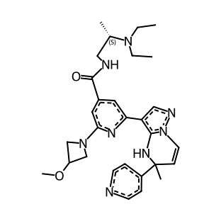 CCN(CC)[C@@H](C)CNC(=O)c1cc(-c2cnn3c2NC(C)(c2ccncc2)C=C3)nc(N2CC(OC)C2)c1